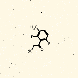 Cc1ccc(F)c(C(=O)CC#N)c1F